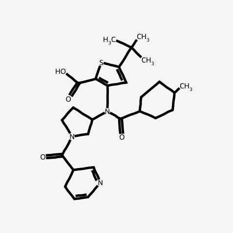 CC1CCC(C(=O)N(c2cc(C(C)(C)C)sc2C(=O)O)C2CCN(C(=O)C3C=NC=CC3)C2)CC1